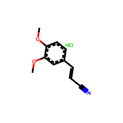 COc1ccc(C=CC#N)cc1OC.Cl